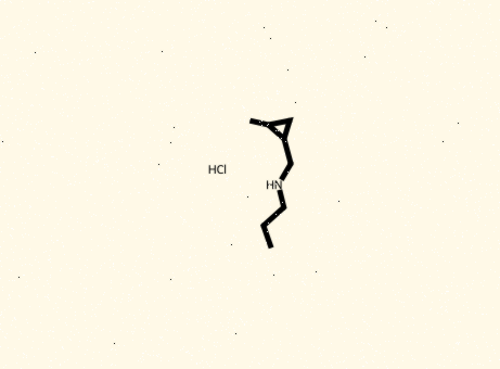 CCCNCC1CC1C.Cl